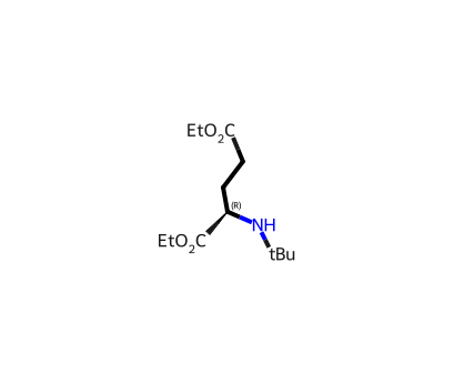 CCOC(=O)CC[C@@H](NC(C)(C)C)C(=O)OCC